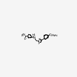 CCCC(=O)c1ccc(NCc2nc(-c3ccc(OC)cc3)cs2)cc1